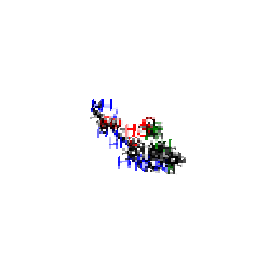 COc1cc(Nc2ncc3c(n2)-c2ccc(Cl)cc2C(c2c(F)cccc2OC)=NC3)ccc1C(=O)NCCCNC(=O)c1ccc(C#CCN)o1.O=C(O)C(F)(F)F